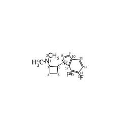 CN(C)C1CCC1n1ccc2ccc(F)c(F)c21